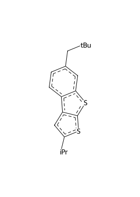 CC(C)c1cc2c(s1)sc1cc(CC(C)(C)C)ccc12